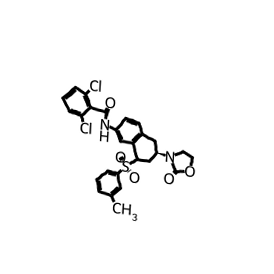 Cc1cccc(S(=O)(=O)C2C[C@H](N3CCOC3=O)Cc3ccc(NC(=O)c4c(Cl)cccc4Cl)cc32)c1